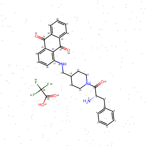 N[C@@H](Cc1ccccc1)C(=O)N1CCC(CNc2cccc3c2C(=O)c2ccccc2C3=O)CC1.O=C(O)C(F)(F)F